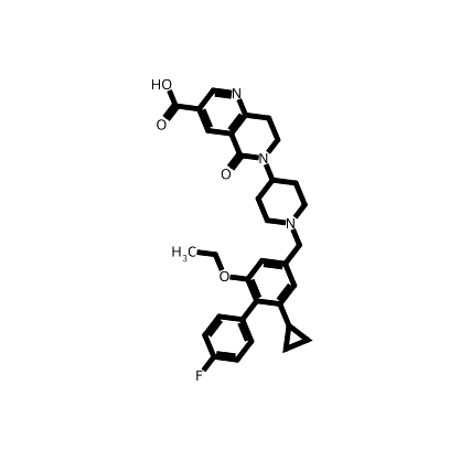 CCOc1cc(CN2CCC(N3CCc4ncc(C(=O)O)cc4C3=O)CC2)cc(C2CC2)c1-c1ccc(F)cc1